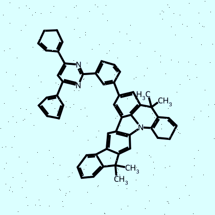 CC1(C)C2=C(CCC=C2)n2c3cc4c(cc3c3cc(-c5cccc(-c6nc(C7=CCCC=C7)cc(-c7ccccc7)n6)c5)cc1c32)-c1ccccc1C4(C)C